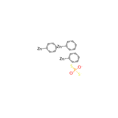 [O-]P([O-])(=S)[S-].[Zn+][c]1ccccc1.[Zn+][c]1ccccc1.[Zn+][c]1ccccc1